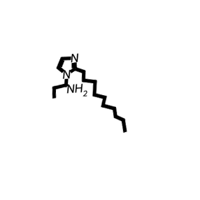 CCCCCCCCCCc1nccn1C(N)CC